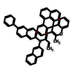 C=C/C(=C\C1=C(C)Oc2ccccc2C12c1ccccc1-c1cccc3cccc2c13)N(c1ccc2ccccc2c1)c1ccc2cc(-c3ccccc3)ccc2c1